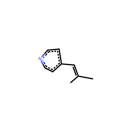 CC(C)=Cc1ccncc1